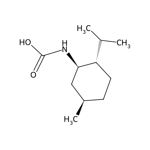 CC(C)[C@@H]1CC[C@@H](C)C[C@H]1NC(=O)O